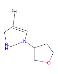 [2H]C1=CN(C2CCOC2)CNC1